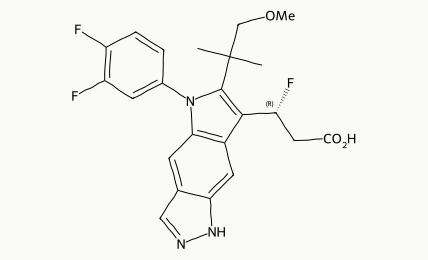 COCC(C)(C)c1c([C@H](F)CC(=O)O)c2cc3[nH]ncc3cc2n1-c1ccc(F)c(F)c1